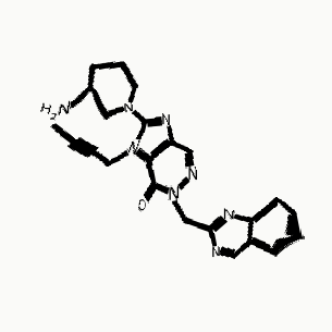 CC#CCn1c(N2CCCC(N)C2)nc2cnn(Cc3ncc4ccccc4n3)c(=O)c21